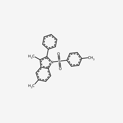 Cc1ccc(S(=O)(=O)n2c(-c3ccccc3)c(C)c3cc(C)ccc32)cc1